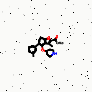 COC(=O)c1oc2ccc(-c3cccc(C)c3)c(OC3CCNCC3)c2c1C